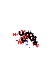 CC1O[C@@H](OC2[C@@H](O)C(C)O[C@@H](O[C@H]3CCC4(C)C5CCC6(C)[C@@H](C7=CC(=O)OC7)CC[C@]6(O)[C@@H]5CC[C@@H]4C3)[C@H]2O)[C@@H](O)C(O)[C@H]1N